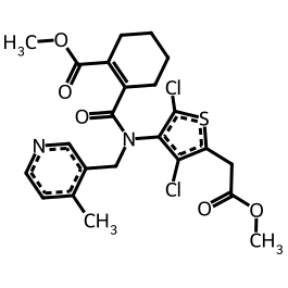 COC(=O)Cc1sc(Cl)c(N(Cc2cnccc2C)C(=O)C2=C(C(=O)OC)CCCC2)c1Cl